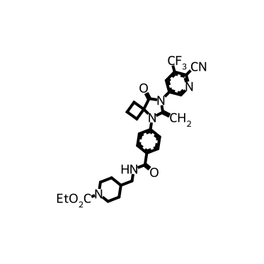 C=C1N(c2cnc(C#N)c(C(F)(F)F)c2)C(=O)C2(CCC2)N1c1ccc(C(=O)NCC2CCN(C(=O)OCC)CC2)cc1